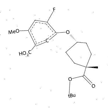 COc1cc(F)c(O[C@H]2CC[C@@](C)(C(=O)OC(C)(C)C)CC2)cc1C(=O)O